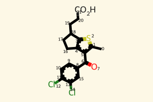 Cc1sc2c(c1C(=O)c1ccc(Cl)c(Cl)c1)CCC2CCC(=O)O